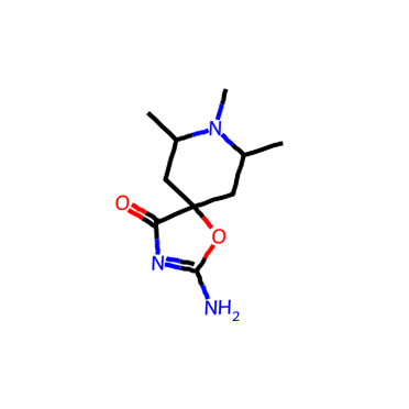 CC1CC2(CC(C)N1C)OC(N)=NC2=O